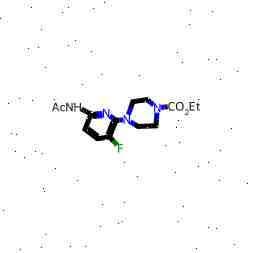 CCOC(=O)N1CCN(c2nc(NC(C)=O)ccc2F)CC1